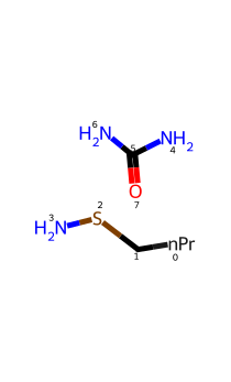 CCCCSN.NC(N)=O